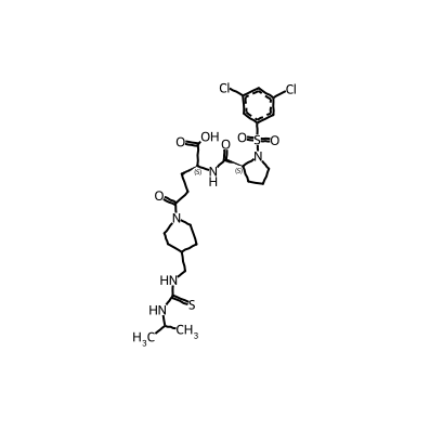 CC(C)NC(=S)NCC1CCN(C(=O)CC[C@H](NC(=O)[C@@H]2CCCN2S(=O)(=O)c2cc(Cl)cc(Cl)c2)C(=O)O)CC1